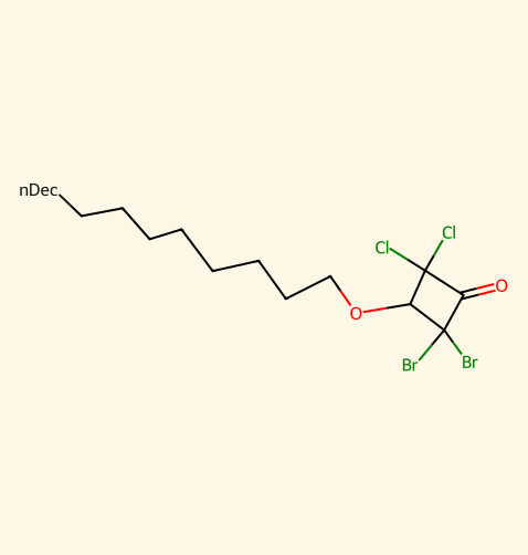 CCCCCCCCCCCCCCCCCCOC1C(Cl)(Cl)C(=O)C1(Br)Br